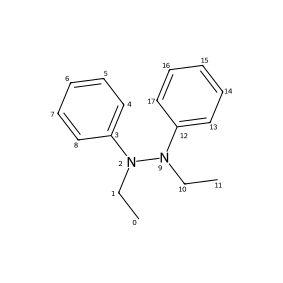 CCN(c1ccccc1)N(CC)c1ccccc1